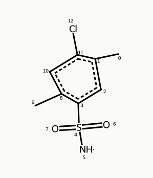 Cc1cc(S([NH])(=O)=O)c(C)cc1Cl